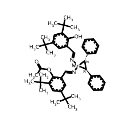 CC(=O)Oc1c(C=[N][Mn]2([N]=Cc3cc(C(C)(C)C)cc(C(C)(C)C)c3O)[C@H](c3ccccc3)[C@H]2c2ccccc2)cc(C(C)(C)C)cc1C(C)(C)C